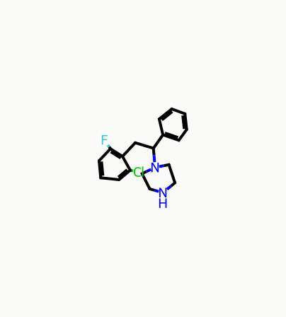 Fc1cccc(Cl)c1CC(c1ccccc1)N1CCNCC1